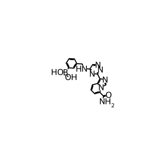 NC(=O)c1cccc2c(-c3nncc(NCc4cccc(B(O)O)c4)n3)ncn12